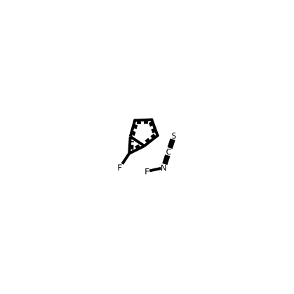 FN=C=S.Fc1c2cccc1-2